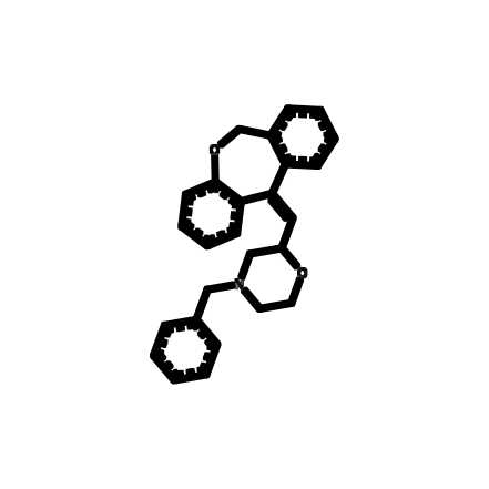 C(=C1\c2ccccc2COc2ccccc21)/C1CN(Cc2ccccc2)CCO1